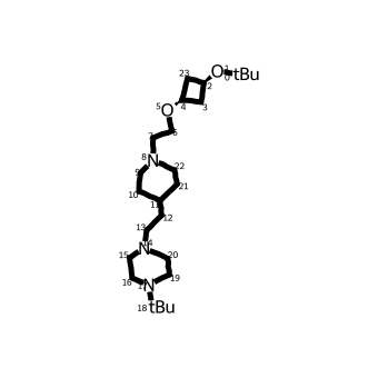 CC(C)(C)O[C@H]1C[C@H](OCCN2CCC(CCN3CCN(C(C)(C)C)CC3)CC2)C1